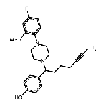 CC#CCCCC(c1ccc(O)cc1)N1CCN(c2ccc(F)cc2OC)CC1